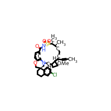 CC#C[C@]1(OC)CCC[C@H](C)[C@@H](C)S(=O)(=O)NC(=O)c2ccc3c(c2)N(C[C@@H]2CC[C@H]21)C[C@@]1(CCCc2cc(Cl)ccc21)CO3